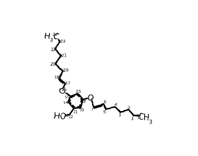 CCCCCCC=COc1cc(CO)cc(OC=CCCCCCC)c1